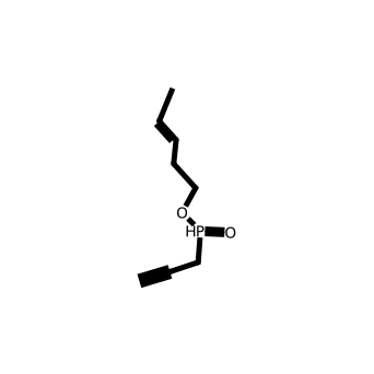 C#CC[PH](=O)OCCC=CC